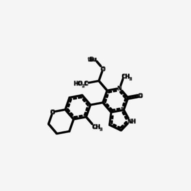 Cc1c(-c2c(C(OC(C)(C)C)C(=O)O)n(C)c(=O)c3[nH]ccc23)ccc2c1CCCO2